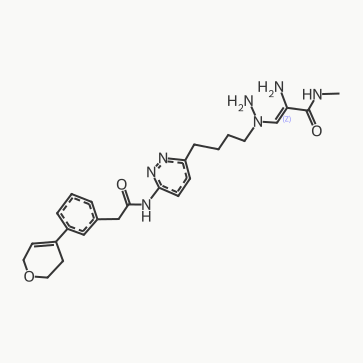 CNC(=O)/C(N)=C/N(N)CCCCc1ccc(NC(=O)Cc2cccc(C3=CCOCC3)c2)nn1